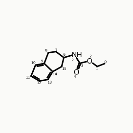 CCOC(=O)NC1CCc2ccccc2C1